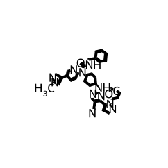 Cn1cc(-c2ccc(N(C(=O)NCc3ccccc3)[C@H]3CC[C@H](Nc4ncc(C#N)c(-c5ccnn5C5CCCCO5)n4)CC3)nc2)cn1